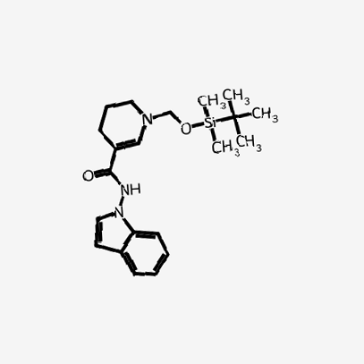 CC(C)(C)[Si](C)(C)OCN1C=C(C(=O)Nn2ccc3ccccc32)CCC1